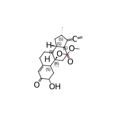 C=C=C1[C@@H](C)C[C@H]2[C@@H]3CCC4=CC(=O)C(O)C[C@]4(C)[C@@]3(OC(=O)OC)CC[C@]12C